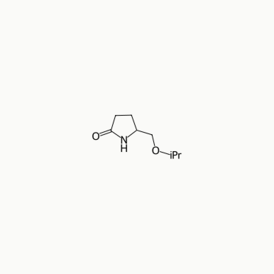 CC(C)OCC1CCC(=O)N1